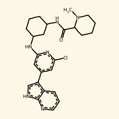 CN1CCCCC1C(=O)NC1CCCC(Nc2cc(-c3c[nH]c4ncccc34)cc(Cl)n2)C1